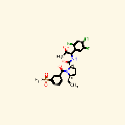 CC[C@@H]1CC[C@H](C(=O)NC(c2cc(F)c(Cl)cc2F)C(C)O)N1C(=O)c1cccc(S(C)(=O)=O)c1